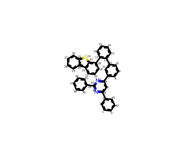 c1ccc(-c2cc(-c3cccc(-c4ccccc4-c4cccc5c4sc4ccccc45)c3)nc(-c3ccccc3)n2)cc1